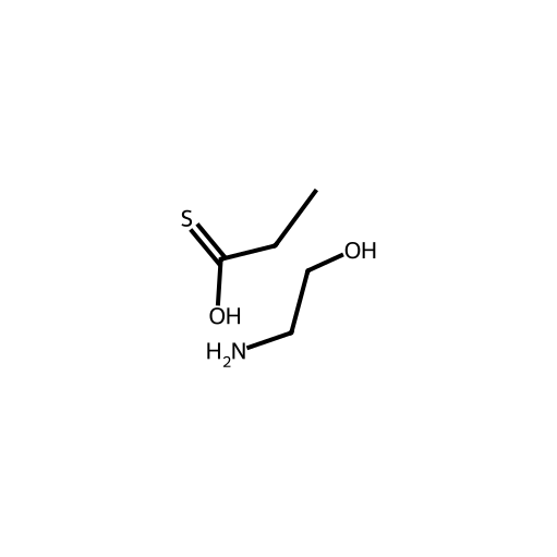 CCC(O)=S.NCCO